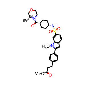 COC(=O)CCc1ccc(-c2cc3ccc(S(=O)(=O)N[C@H]4CC[C@H](C(=O)N5CCOC[C@@H]5C(C)C)CC4)cc3n2C)cc1